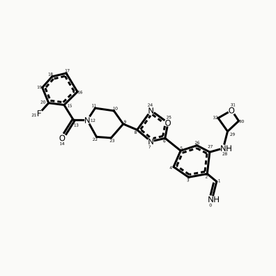 N=Cc1ccc(-c2nc(C3CCN(C(=O)c4ccccc4F)CC3)no2)cc1NC1COC1